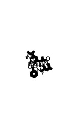 Cc1cc([C@H](C)Nc2ccccc2C(=O)OC(C)(C)C)c2nc(-c3cnc4c(c3)c(C)c(C)n4C)c(C)c(=O)n2c1